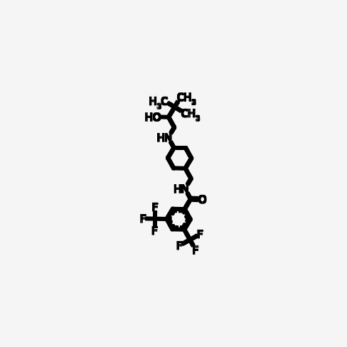 CC(C)(C)C(O)CNC1CCC(CNC(=O)c2cc(C(F)(F)F)cc(C(F)(F)F)c2)CC1